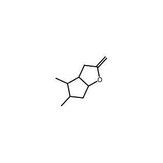 C=C1CC2C(CC(C)C2C)O1